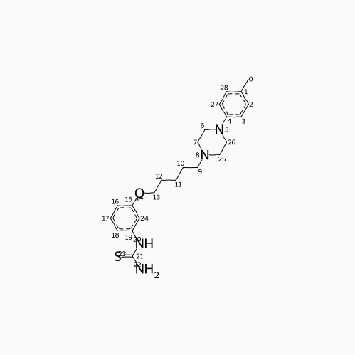 Cc1ccc(N2CCN(CCCCCOc3cccc(NC(N)=S)c3)CC2)cc1